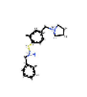 c1ccc(CNSc2ccc(CN3CCCC3)cc2)cc1